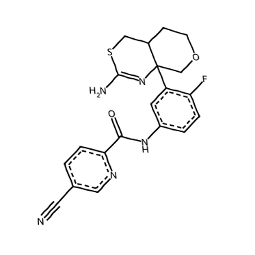 N#Cc1ccc(C(=O)Nc2ccc(F)c(C34COCCC3CSC(N)=N4)c2)nc1